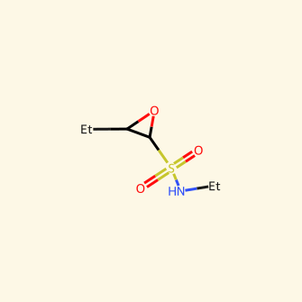 CCNS(=O)(=O)C1OC1CC